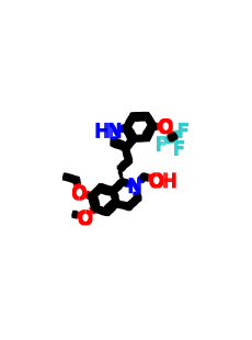 CCOc1cc2c(cc1OC)CCN(CO)[C@H]2CCc1c[nH]c2ccc(OC(F)(F)F)cc12